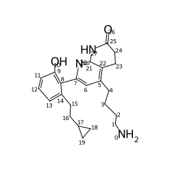 NCCCCc1cc(-c2c(O)cccc2CCC2CC2)nc2c1CCC(=O)N2